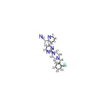 N#CCc1ncccc1-c1ccnc(N2CCN(Cc3ccccc3F)CC2)n1